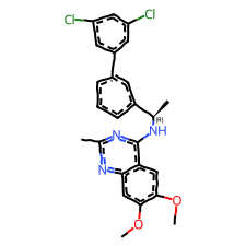 COc1cc2nc(C)nc(N[C@H](C)c3cccc(-c4cc(Cl)cc(Cl)c4)c3)c2cc1OC